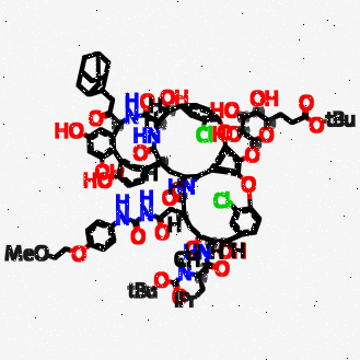 COCCOc1ccc(NC(=O)NC(=O)C[C@@H]2CC(=O)[C@H](NC(=O)[C@@H](CC(C)C)N(C)C(=O)OC(C)(C)C)[C@H](O)c3ccc(c(Cl)c3)Oc3cc4cc(c3O[C@@H]3O[C@H](CCC(=O)OC(C)(C)C)[C@@H](O)[C@H](O)[C@H]3O)Oc3ccc(cc3Cl)[C@@H](O)[C@@H]3NC(=O)[C@H](CC(=O)C4NC2=O)c2ccc(O)c(c2)-c2c(O)cc(O)cc2[C@@H](C(=O)CC2C4CC5CC(C4)CC2C5)NC3=O)cc1